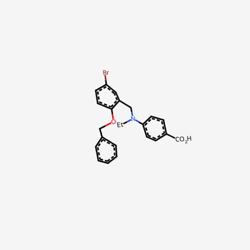 CCN(Cc1cc(Br)ccc1OCc1ccccc1)c1ccc(C(=O)O)cc1